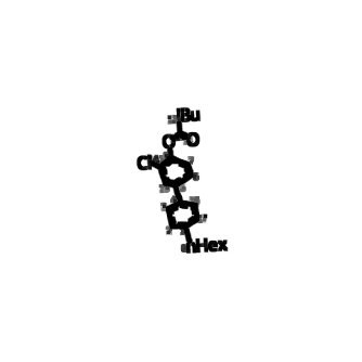 CCCCCCc1ccc(-c2ccc(OC(=O)C(C)CC)c(Cl)c2)cc1